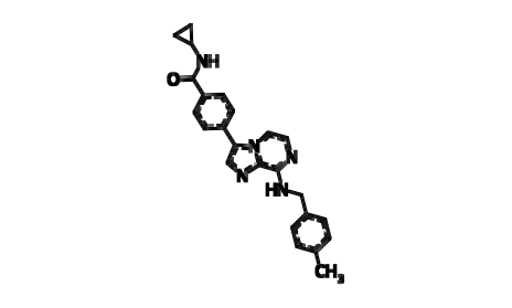 Cc1ccc(CNc2nccn3c(-c4ccc(C(=O)NC5CC5)cc4)cnc23)cc1